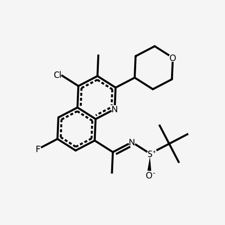 CC(=N[S@+]([O-])C(C)(C)C)c1cc(F)cc2c(Cl)c(C)c(C3CCOCC3)nc12